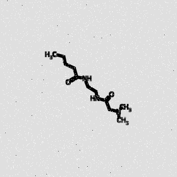 CCCCC(=O)NCCNC(=O)CN(C)C